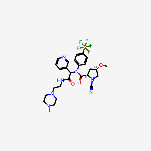 CO[C@@H]1C[C@H](C(=O)N(c2ccc(S(F)(F)(F)(F)F)cc2)C(C(=O)NCCN2CCNCC2)c2cccnc2)N(C#N)C1